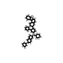 c1ccc(-c2ccc3cc(N(c4ccccc4)c4ccc(-c5ccc6c(ccc7oc8ccccc8c76)c5)c(-c5ccccc5)c4)ccc3c2)cc1